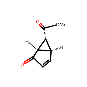 COC(=O)[C@@H]1[C@H]2C=CC(=O)[C@H]21